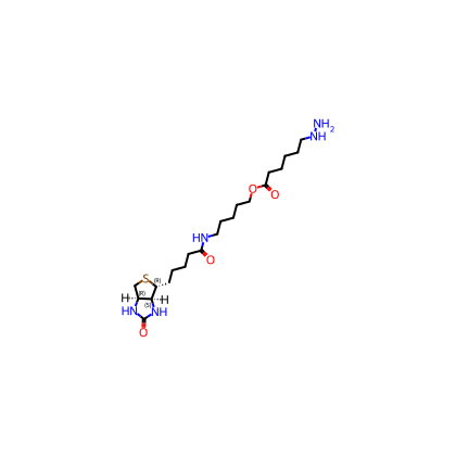 NNCCCCCC(=O)OCCCCCNC(=O)CCCC[C@H]1SC[C@@H]2NC(=O)N[C@@H]21